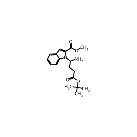 COC(=O)c1cc2ccccc2n1C(N)CCC(=O)OC(C)(C)C